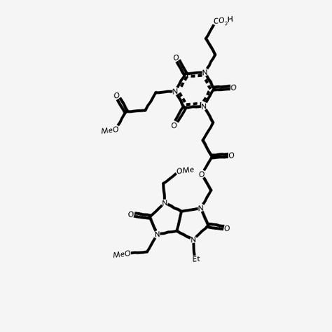 CCN1C(=O)N(COC(=O)CCn2c(=O)n(CCC(=O)O)c(=O)n(CCC(=O)OC)c2=O)C2C1N(COC)C(=O)N2COC